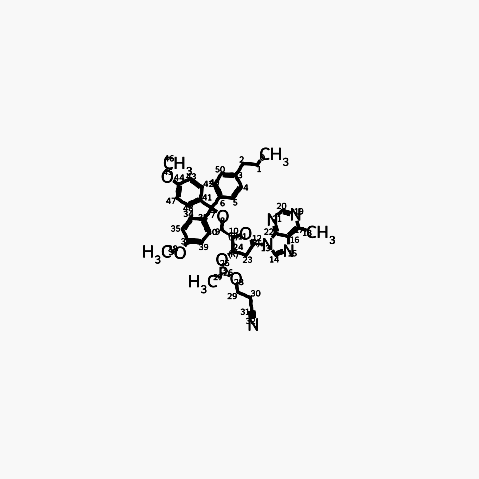 CCCc1ccc(C(OC[C@H]2O[C@@H](n3cnc4c(C)ncnc43)C[C@H]2OP(C)OCCC#N)(c2ccc(OC)cc2)c2ccc(OC)cc2)cc1